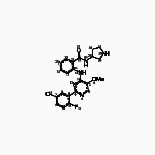 COc1cnc(-c2cc(Cl)ccc2F)nc1Nc1ccncc1C(=O)NC1CCNC1